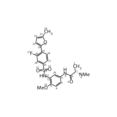 CN[C@@H](C)C(=O)Nc1ccc(OC)c(NS(=O)(=O)c2ccc(-c3ccc(C)o3)c(F)c2)c1